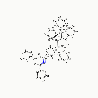 c1ccc(-c2cc(-c3ccccc3)nc(-c3ccc(-c4cc5c(cc4-c4ccccc4)-c4ccccc4C54c5ccccc5-c5ccccc54)cc3)c2)cc1